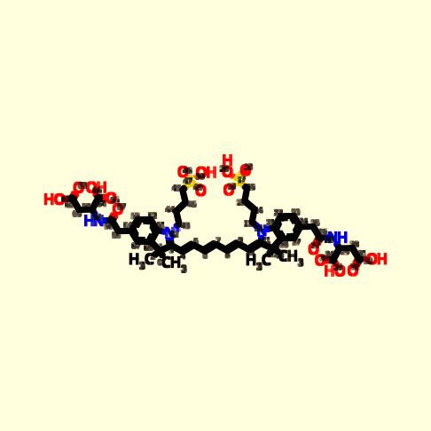 CC1(C)C(/C=C/C=C/C=C/C=C2\N(CCCCS(=O)(=O)O)c3ccc(CC(=O)NC(CC(=O)O)C(=O)O)cc3C2(C)C)=[N+](CCCCS(=O)(=O)O)c2ccc(CC(=O)NC(CC(=O)O)C(=O)O)cc21